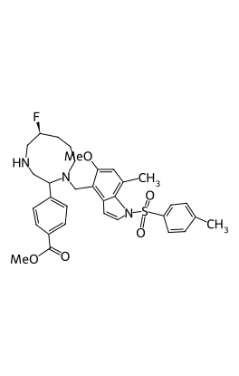 COC(=O)c1ccc(C2CNC[C@@H](F)CCCN2Cc2c(OC)cc(C)c3c2ccn3S(=O)(=O)c2ccc(C)cc2)cc1